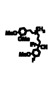 COc1cc(C(C#N)(CCCN(C)CCc2ccc(OC)c(OC)c2)C(C)C)ccc1F